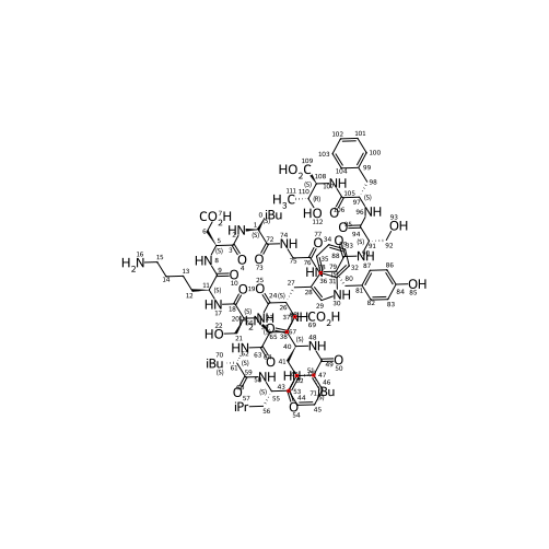 CC[C@H](C)[C@H](NC(=O)[C@H](CC(=O)O)NC(=O)[C@H](CCCCN)NC(=O)[C@H](CO)NC(=O)[C@H](Cc1c[nH]c2ccccc12)NC(=O)[C@H](Cc1ccccc1)NC(=O)[C@@H](NC(=O)[C@H](CC(C)C)NC(=O)[C@@H](NC(=O)[C@@H](N)CCC(=O)O)[C@@H](C)CC)[C@@H](C)CC)C(=O)NCC(=O)N[C@@H](Cc1ccc(O)cc1)C(=O)N[C@@H](CO)C(=O)N[C@@H](Cc1ccccc1)C(=O)N[C@H](C(=O)O)[C@@H](C)O